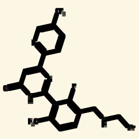 CC(C)CNCc1ccc(C(F)(F)F)c(-c2nc(-c3ccc(C(F)(F)F)cn3)cc(=O)[nH]2)c1F